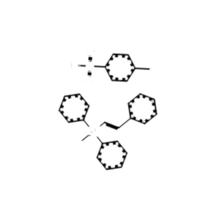 C[P+](/C=C/c1ccccc1)(c1ccccc1)c1ccccc1.Cc1ccc(S(=O)(=O)[O-])cc1